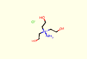 N[N+](CCO)(CCO)CCO.[Cl-]